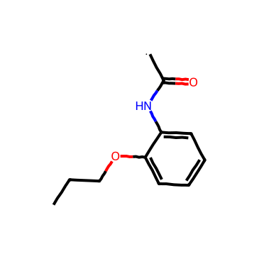 [CH2]C(=O)Nc1ccccc1OCCC